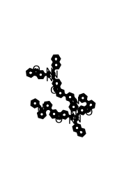 c1ccc(-n2c3ccccc3c3c(-c4ccc5oc6cc(-c7nc(-c8ccc9ccccc9c8)nc(-c8ccc9c(c8)oc8cccc(-c%10cccc(-n%11c%12ccccc%12c%12cc(-c%13ccc%14oc%15cc(-c%16nc(-c%17ccc%18ccccc%18c%17)nc(-c%17ccc%18c(c%17)oc%17ccccc%17%18)n%16)ccc%15c%14c%13)ccc%12%11)c%10)c89)n7)ccc6c5c4)cccc32)cc1